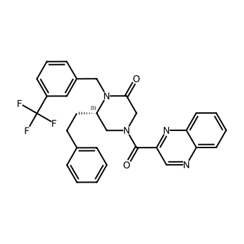 O=C(c1cnc2ccccc2n1)N1CC(=O)N(Cc2cccc(C(F)(F)F)c2)[C@@H](CCc2ccccc2)C1